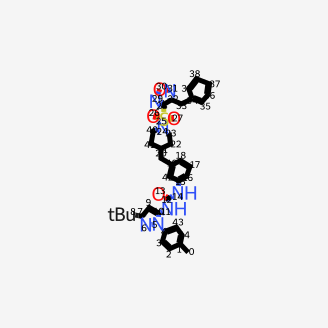 Cc1ccc(-n2nc(C(C)(C)C)cc2NC(=O)Nc2cccc(CC3CCN(S(=O)(=O)c4nonc4Cc4ccccc4)CC3)c2)cc1